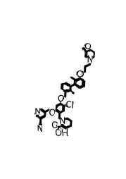 Cc1c(COc2cc(OCc3cncc(C#N)c3)c(CN3CCCC[C@H]3C(=O)O)cc2Cl)cccc1-c1cccc(OCCCN2CCC3OCC3C2)c1C